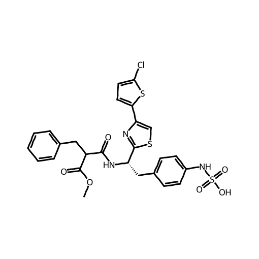 COC(=O)C(Cc1ccccc1)C(=O)N[C@@H](Cc1ccc(NS(=O)(=O)O)cc1)c1nc(-c2ccc(Cl)s2)cs1